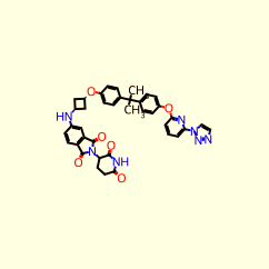 CC(C)(c1ccc(Oc2cccc(-n3ccnn3)n2)cc1)c1ccc(O[C@H]2C[C@H](Nc3ccc4c(c3)C(=O)N(C3CCC(=O)NC3=O)C4=O)C2)cc1